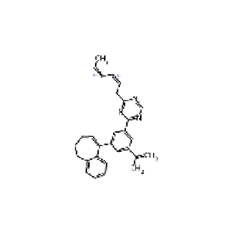 C=C(C)c1cc(C2=CCCCc3ccccc32)cc(-c2ncnc(C/C=C\C=C/C)n2)c1